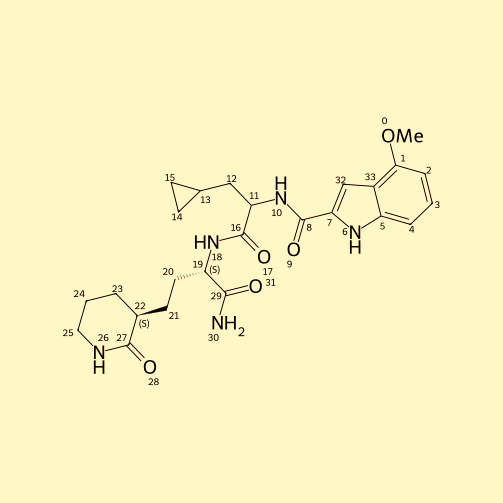 COc1cccc2[nH]c(C(=O)NC(CC3CC3)C(=O)N[C@@H](CC[C@@H]3CCCNC3=O)C(N)=O)cc12